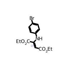 CCOC(=O)/C=C(\Nc1ccc(Br)cc1)C(=O)OCC